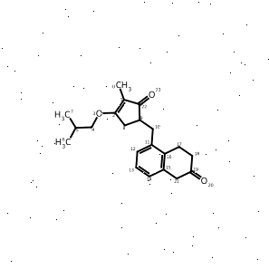 CC1=C(OCC(C)C)CC(Cc2cccc3c2CCC(=O)C3)C1=O